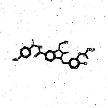 CCCCc1ccc([C@H](C)NC(=O)c2ccc3c(c2)N(CC(C)C)C(C)C3Cc2ccc(Cl)c(O[C@H](C)C(=O)O)c2)cc1